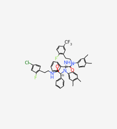 Cc1ccc(N(CCc2cc(C(F)(F)F)ccc2F)C(=O)[C@](N)(c2ccccc2)N(c2ccc(C)c(C)c2)[C@H](C(=O)NCCc2ccc(Cl)cc2F)c2ccccc2)cc1C